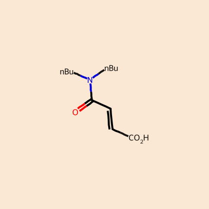 CCCCN(CCCC)C(=O)/C=C/C(=O)O